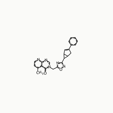 Cc1ccnc2ncn(Cc3nc(C4C5C=C(c6ccccc6)CC54)no3)c(=O)c12